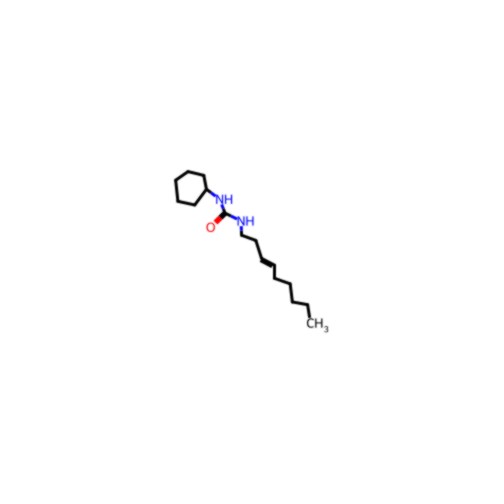 CCCCC/C=C/CCNC(=O)NC1CCCCC1